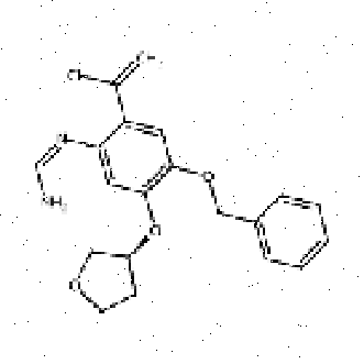 C=C(Cl)c1cc(OCc2ccccc2)c(O[C@H]2CCOC2)cc1/N=C\N